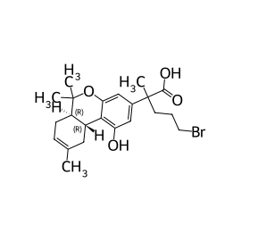 CC1=CC[C@@H]2[C@@H](C1)c1c(O)cc(C(C)(CCCBr)C(=O)O)cc1OC2(C)C